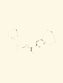 CC(C)(CNC(=O)c1cc2c(s1)CCCCCC2)CN1CCCCC1